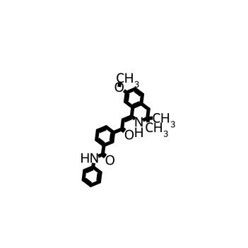 COc1ccc2c(c1)C(=CC(=O)c1cccc(C(=O)Nc3ccccc3)c1)NC(C)(C)C2